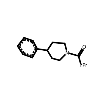 CCCC(=O)N1CCC(c2ccccc2)CC1